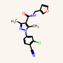 Cc1nn(-c2ccc(C#N)c(Cl)c2)c(C)c1C(=O)NCc1ccoc1